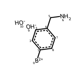 [B+2]c1ccc(CN)cc1.[OH-].[OH-]